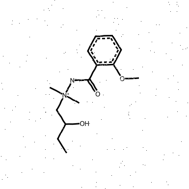 CCC(O)C[N+](C)(C)[N-]C(=O)c1ccccc1OC